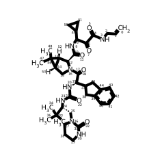 C=CCNC(=O)C(=O)C(NC(=O)[C@@H]1[C@@H]2[C@H](CN1C(=O)[C@@H](NC(=O)N[C@H](CN1CCCNC1=O)C(C)(C)C)C1Cc3ccccc3C1)C2(C)C)C1CC1